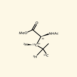 [2H][13C@@H]([C@H]([13NH]C(C)=O)C(=O)OC)C([2H])(C)[13CH3]